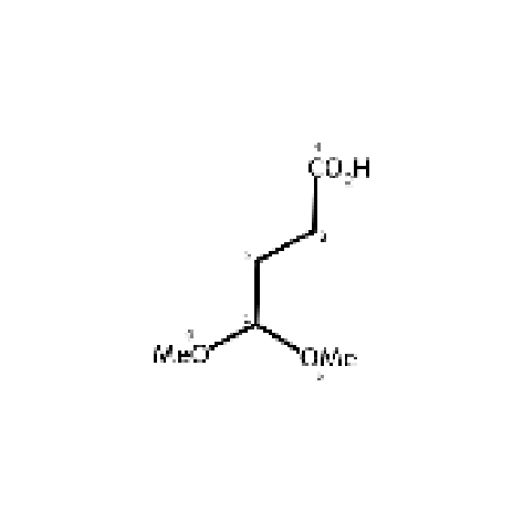 COC(CCC(=O)O)OC